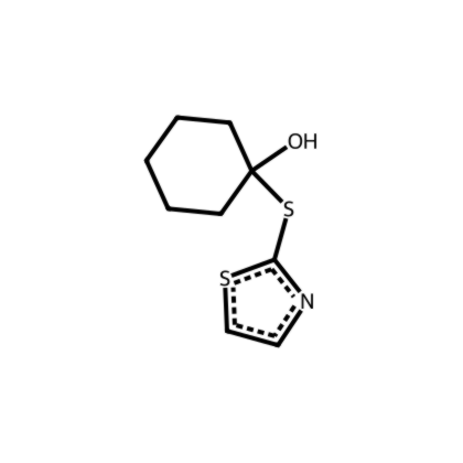 OC1(Sc2nccs2)CCCCC1